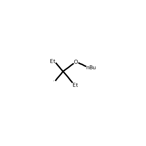 [CH2]C(CC)(CC)OCCCC